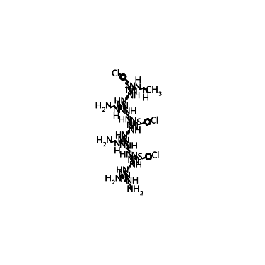 CNCCNc1nc(NCCNc2nc(NCCN)nc(NCCNc3nc(NCCNc4nc(NCCN)nc(NCCNc5nc(NCCNc6nc(N)nc(NCCN)n6)nc(SCc6ccc(Cl)cc6)n5)n4)nc(SCc4ccc(Cl)cc4)n3)n2)nc(SCc2ccc(Cl)cc2)n1